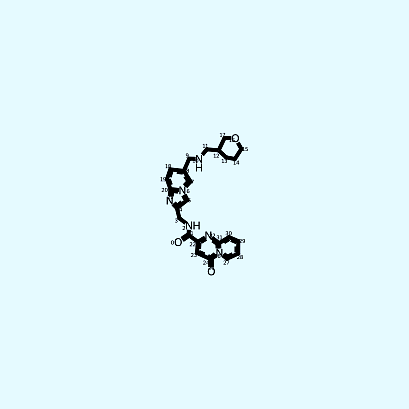 O=C(NCc1cn2cc(CNCC3CCCOC3)ccc2n1)c1cc(=O)n2ccccc2n1